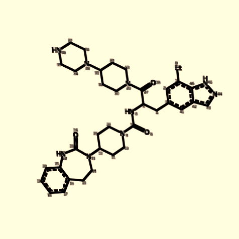 CCc1cc(CC(NC(=O)N2CCC(N3CCc4ccccc4NC3=O)CC2)C(=O)N2CCC(N3CCNCC3)CC2)cc2cn[nH]c12